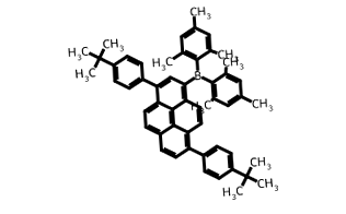 Cc1cc(C)c(B(c2c(C)cc(C)cc2C)c2cc(-c3ccc(C(C)(C)C)cc3)c3ccc4ccc(-c5ccc(C(C)(C)C)cc5)c5ccc2c3c45)c(C)c1